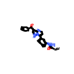 CC(C)(C)C(=O)Nc1cccc(-c2ccnc3c(C(=O)c4ccccc4)cnn23)c1